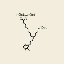 CCCCCCCCCCCCCCN(CCCCCCCC(=O)OC(CCCCCCCC)CCCCCCCC)CCCn1ccnc1C